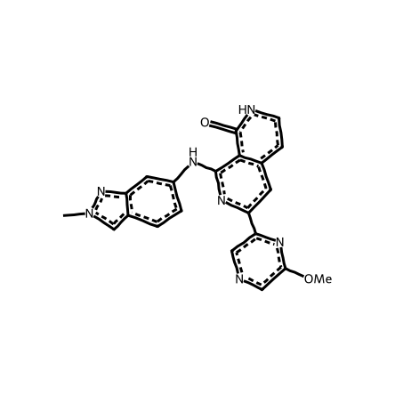 COc1cncc(-c2cc3cc[nH]c(=O)c3c(Nc3ccc4cn(C)nc4c3)n2)n1